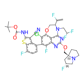 C=C(F)C1COc2c(Cl)c(-c3ccc(F)c4sc(NC(=O)OC(C)(C)C)c(C#N)c34)c(F)c3nc(OC[C@@]45CCCN4C[C@H](F)C5)nc(c23)N1CC(F)F